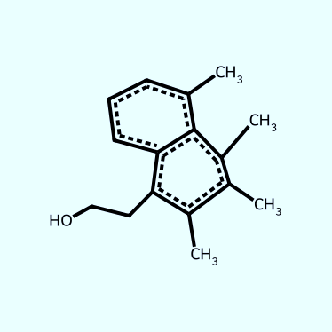 Cc1c(C)c(C)c2c(C)cccc2c1CCO